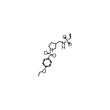 C=CS(=O)(=O)NCC1CCN(S(=O)(=O)c2ccc(OCC)cc2)C1